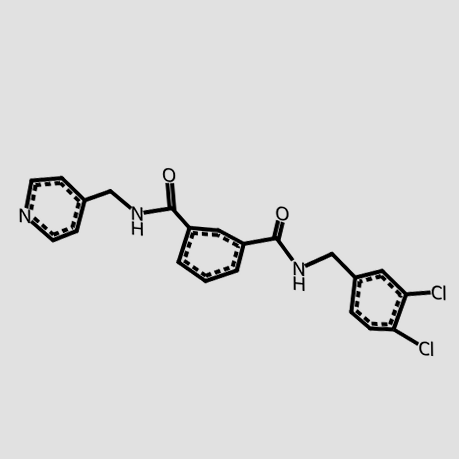 O=C(NCc1ccncc1)c1cccc(C(=O)NCc2ccc(Cl)c(Cl)c2)c1